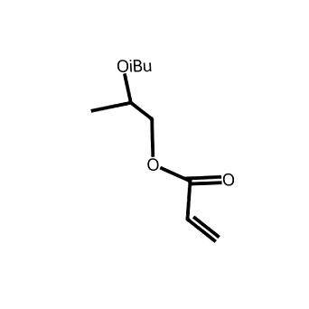 C=CC(=O)OCC(C)OCC(C)C